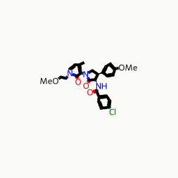 COCCn1ccc(C)c(N2C[C@@H](c3ccc(OC)cc3)[C@H](NC(=O)c3ccc(Cl)cc3)C2=O)c1=O